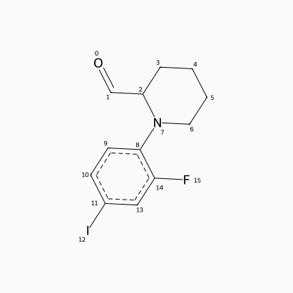 O=CC1CCCCN1c1ccc(I)cc1F